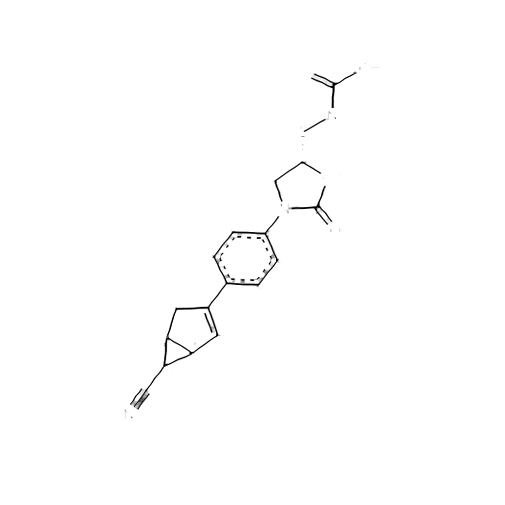 CC(=O)NC[C@H]1CN(c2ccc(C3=CC4C(C#N)C4C3)cc2)C(=O)O1